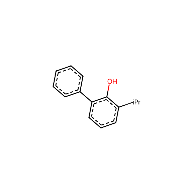 CC(C)c1cccc(-c2ccccc2)c1O